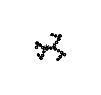 c1ccc(-c2ccc(-n3c4ccccc4c4ccc(-c5ccc(-c6ccc7c(c6)c6cc(-c8ccc(-c9ccc%10c%11ccccc%11n(-c%11ccc(-c%12ccccc%12)cc%11)c%10c9)cc8)ccc6n7-c6ccc(-c7ccc(N(c8ccc(-c9ccc%10c%11ccccc%11n(-c%11ccccc%11)c%10c9)cc8)c8ccc(-c9ccc%10c%11ccccc%11n(-c%11ccccc%11)c%10c9)cc8)c8nsnc78)cc6)cc5)cc43)cc2)cc1